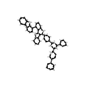 c1ccc(-c2ccc(-c3nc(-c4ccccc4)nc(-c4ccc(-c5nc6cccc(-c7cccc8c7oc7ccccc78)c6c6oc7ccccc7c56)cc4)n3)cc2)cc1